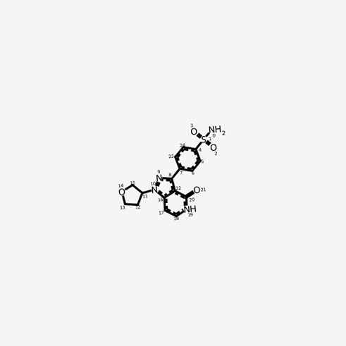 NS(=O)(=O)c1ccc(-c2nn(C3CCOC3)c3cc[nH]c(=O)c23)cc1